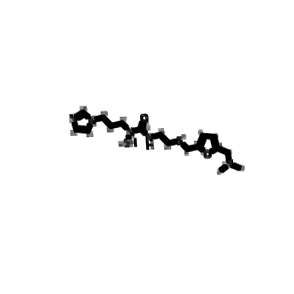 CN(C)Cc1ccc(CSCCNC(=O)N(S)CCCn2ccnc2)o1